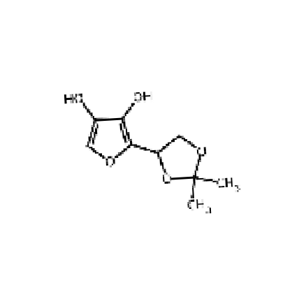 CC1(C)OCC(c2occ(O)c2O)O1